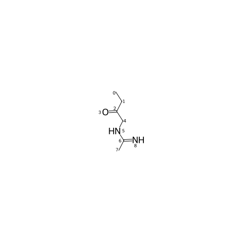 CCC(=O)CNC(C)=N